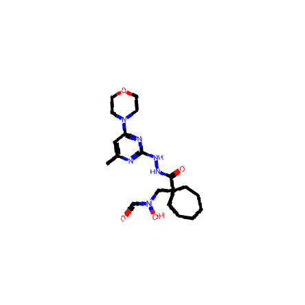 Cc1cc(N2CCOCC2)nc(NNC(=O)C2(CN(O)C=O)CCCCCC2)n1